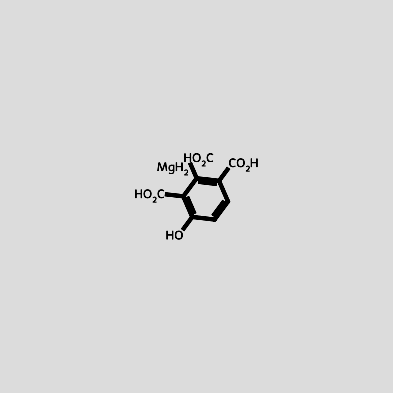 O=C(O)c1ccc(O)c(C(=O)O)c1C(=O)O.[MgH2]